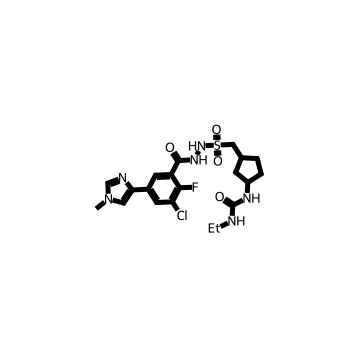 CCNC(=O)NC1CCC(CS(=O)(=O)NNC(=O)c2cc(-c3cn(C)cn3)cc(Cl)c2F)C1